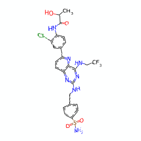 CC(O)C(=O)Nc1ccc(-c2ccc3nc(NCc4ccc(S(N)(=O)=O)cc4)nc(NCC(F)(F)F)c3n2)cc1Cl